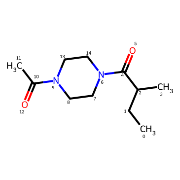 CCC(C)C(=O)N1CCN(C(C)=O)CC1